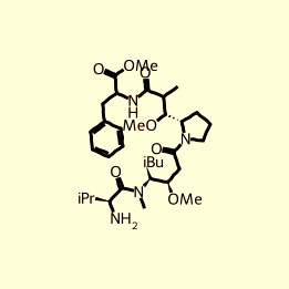 CC[C@H](C)[C@@H]([C@@H](CC(=O)N1CCC[C@H]1C(OC)C(C)C(=O)NC(Cc1ccccc1)C(=O)OC)OC)N(C)C(=O)[C@@H](N)C(C)C